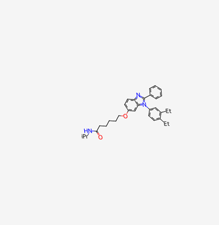 CCc1ccc(-n2c(-c3ccccc3)nc3ccc(OCCCCCC(=O)NC(C)C)cc32)cc1CC